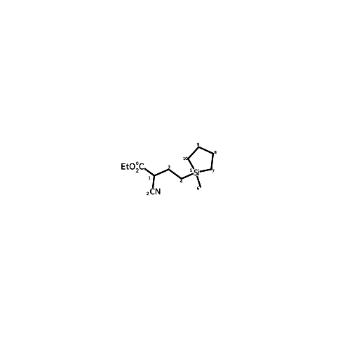 CCOC(=O)C(C#N)CC[Si]1(C)CCCC1